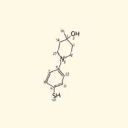 CC1(O)CCN(c2ccc(S)cc2)CC1